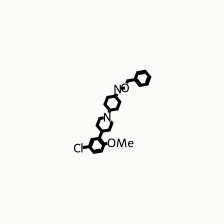 COc1ccc(Cl)cc1C1CCN(C2CCC(=NOCc3ccccc3)CC2)CC1